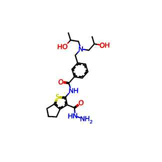 CC(O)CN(Cc1cccc(C(=O)Nc2sc3c(c2C(=O)NN)CCC3)c1)CC(C)O